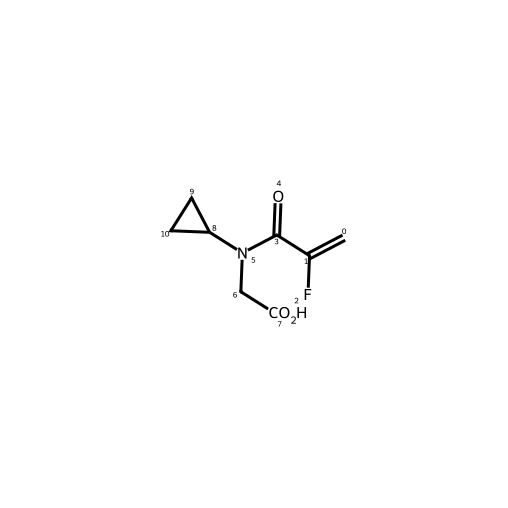 C=C(F)C(=O)N(CC(=O)O)C1CC1